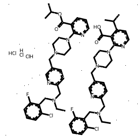 CCN(Cc1ccc(CN2CCN(c3nccc(C(C)C)c3C(=O)O)CC2)cn1)Cc1c(F)cccc1Cl.CCN(Cc1ccc(CN2CCN(c3ncccc3C(=O)OC(C)C)CC2)cn1)Cc1c(F)cccc1Cl.Cl.Cl.Cl